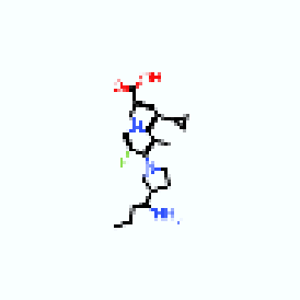 CCCC(N)C1CCN(C2=C(C)C3=C(C4CC4)C=C(C(=O)O)CN3C=C2F)C1